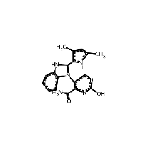 Cc1cc(C)c(C2Nc3ccccc3N2c2cnc(O)nc2C(N)=O)[nH]1